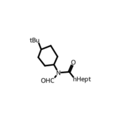 CCCCCCCC(=O)N(C=O)C1CCC(C(C)(C)C)CC1